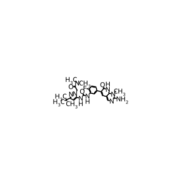 CN(C)C(=O)Cn1nc(C(C)(C)C)cc1NC(=O)Nc1cc(C2=CC3=CN=C(N)N(C)C3NC2=O)ccc1F